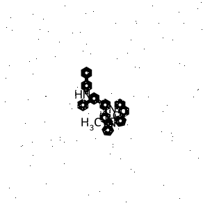 CC1CC=Cc2cccc(Nc3ccc(-c4ccc(Nc5ccc(-c6ccccc6)cc5)c(-c5ccccc5)c4)cc3C3=Cc4c(c5ccccc5n4-c4ccccc4)C(C)C3)c21